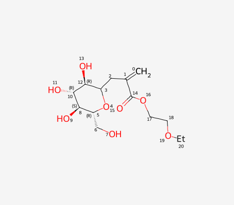 C=C(CC1O[C@H](CO)[C@@H](O)[C@H](O)[C@H]1O)C(=O)OCCOCC